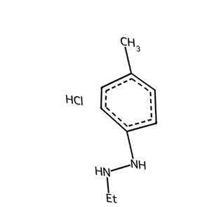 CCNNc1ccc(C)cc1.Cl